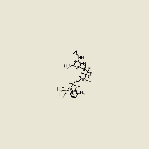 CC(C)OC(=O)[C@H](C)NP(=O)(OCC1O[C@@H](n2cnc3c(NC4CC4)nc(N)nc32)[C@@](Cl)(C(F)(F)F)[C@@H]1O)Oc1ccccc1